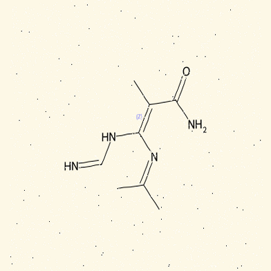 CC(C)=N/C(NC=N)=C(/C)C(N)=O